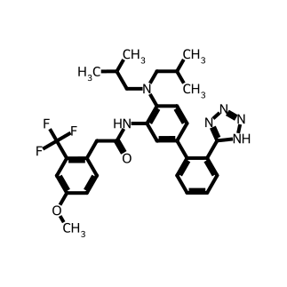 COc1ccc(CC(=O)Nc2cc(-c3ccccc3-c3nnn[nH]3)ccc2N(CC(C)C)CC(C)C)c(C(F)(F)F)c1